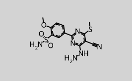 COc1ccc(-c2nc(NN)c(C#N)c(SC)n2)cc1S(N)(=O)=O